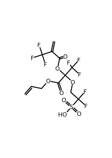 C=CCOC(=O)C(OCC(F)(F)S(=O)(=O)O)(OC(=O)C(=C)C(F)(F)F)C(F)(F)F